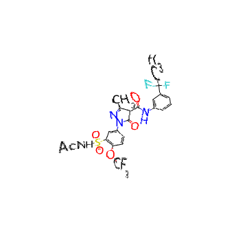 CC(=O)NS(=O)(=O)c1cc(N2N=C(C)C(C(=O)Nc3cccc(C(C)(F)F)c3)C2=O)ccc1OC(F)(F)F